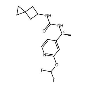 C[C@H](NC(=O)NC1CC2(CC2)C1)c1ccnc(OC(F)F)c1